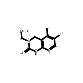 Cc1c(F)cnc2c1CN(CC(=O)O)C(=O)N2